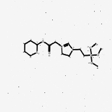 CO[Si](CCN1C=[N+](CC(=O)OC2CCCCO2)CC1)(OC)OC